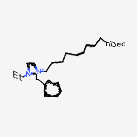 CCCCCCCCCCCCCCCCCC[n+]1ccn(CC)c1Cc1ccccc1